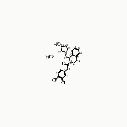 Cl.O=C(Cc1ccc(Cl)c(Cl)c1)N1CCc2ccccc2C1CN1CCC(O)C1